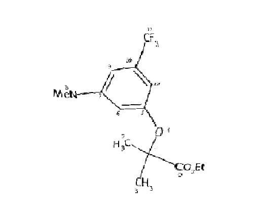 CCOC(=O)C(C)(C)Oc1cc(NC)cc(C(F)(F)F)c1